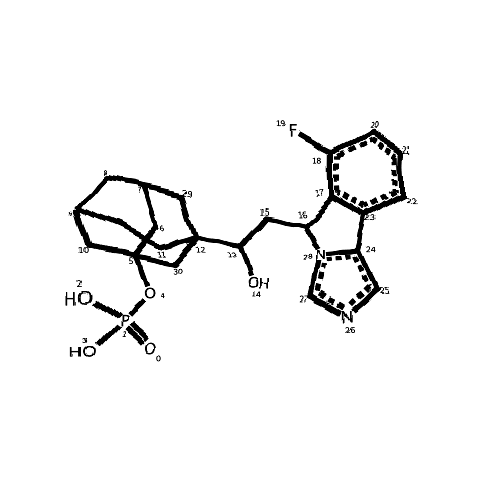 O=P(O)(O)OC12CC3CC(C1)CC(C(O)CC1c4c(F)cccc4-c4cncn41)(C3)C2